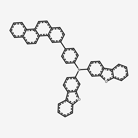 c1ccc2c(c1)ccc1c3cc(-c4ccc(N(c5ccc6c(c5)oc5ccccc56)c5ccc6c(c5)oc5ccccc56)cc4)ccc3ccc21